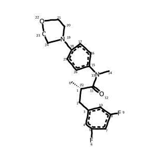 C[C@@H](Cc1cc(F)cc(F)c1)C(=O)N(C)c1ccc(N2CCOCC2)cc1